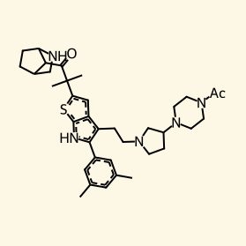 CC(=O)N1CCN(C2CCN(CCc3c(-c4cc(C)cc(C)c4)[nH]c4sc(C(C)(C)C(=O)C5C6CCC5NC6)cc34)C2)CC1